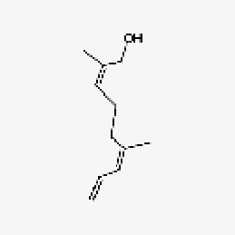 C=CC=C(C)CCC=C(C)CO